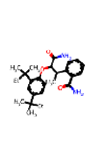 CCC(C)(C)c1ccc(OC(C(N)=O)C(C)c2ccccc2C(N)=O)c(C(C)(C)CC)c1